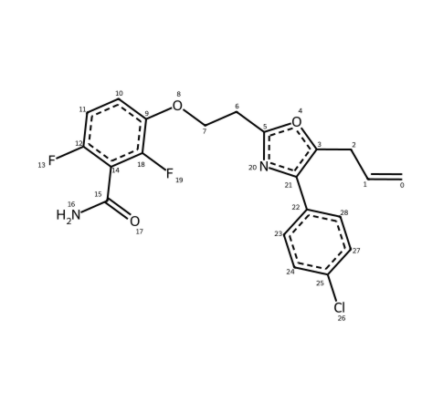 C=CCc1oc(CCOc2ccc(F)c(C(N)=O)c2F)nc1-c1ccc(Cl)cc1